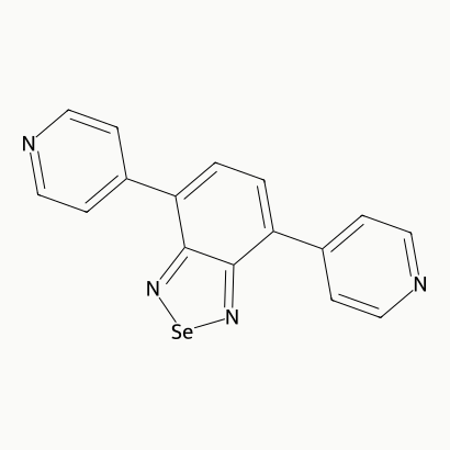 c1cc(-c2ccc(-c3ccncc3)c3n[se]nc23)ccn1